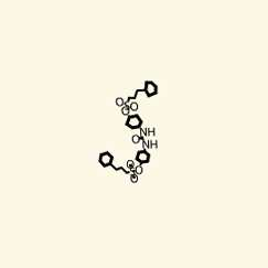 O=C(Nc1ccc(OS(=O)(=O)CCCc2ccccc2)cc1)Nc1ccc(OS(=O)(=O)CCCc2ccccc2)cc1